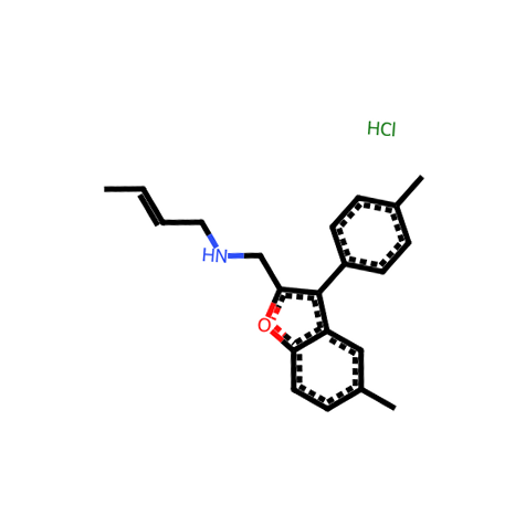 CC=CCNCc1oc2ccc(C)cc2c1-c1ccc(C)cc1.Cl